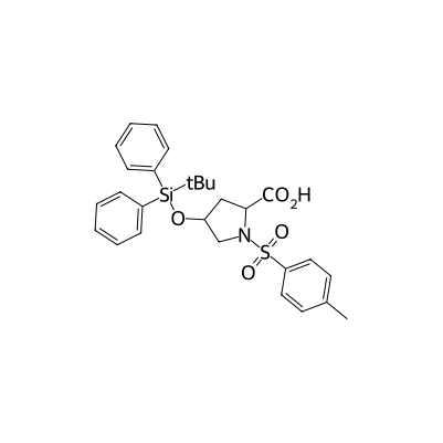 Cc1ccc(S(=O)(=O)N2CC(O[Si](c3ccccc3)(c3ccccc3)C(C)(C)C)CC2C(=O)O)cc1